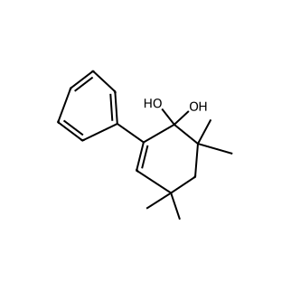 CC1(C)C=C(c2ccccc2)C(O)(O)C(C)(C)C1